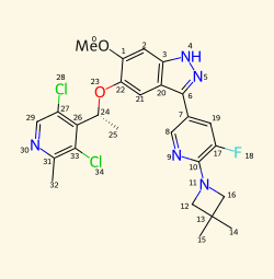 COc1cc2[nH]nc(-c3cnc(N4CC(C)(C)C4)c(F)c3)c2cc1O[C@H](C)c1c(Cl)cnc(C)c1Cl